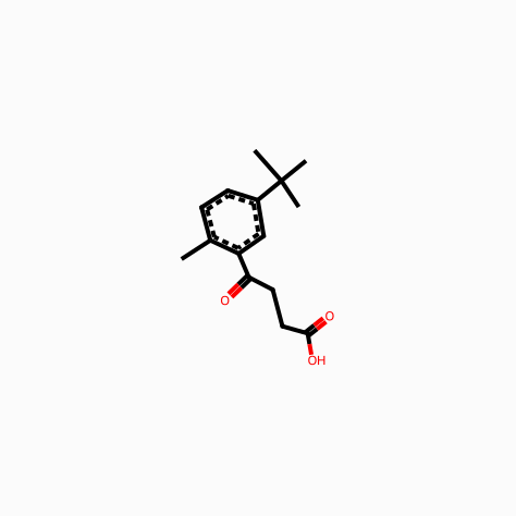 Cc1ccc(C(C)(C)C)cc1C(=O)CCC(=O)O